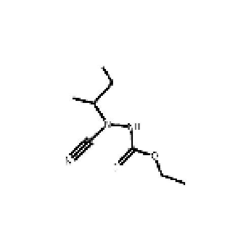 CCOC(=O)NN(C#N)C(C)CC